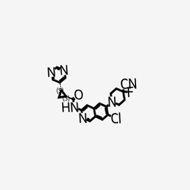 N#CC1(F)CCN(c2cc3cc(NC(=O)[C@H]4C[C@@H]4c4cncnc4)ncc3cc2Cl)CC1